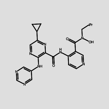 CC(C)CN(O)C(=O)c1cnccc1NC(=O)c1nc(C2CC2)cnc1Nc1cncnc1